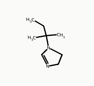 CCC(C)(C)N1C=NCC1